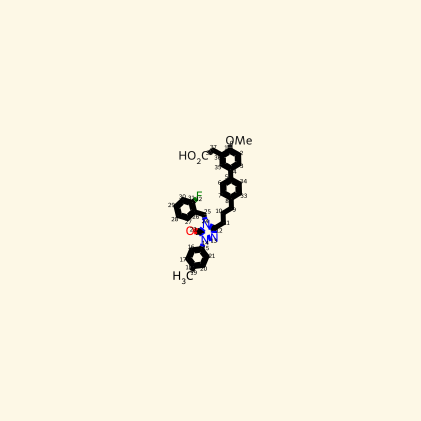 COc1ccc(-c2ccc(CCCc3nn(-c4ccc(C)cc4)c(=O)n3Cc3ccccc3F)cc2)cc1CC(=O)O